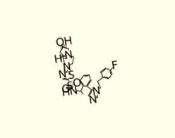 CC(NS(=O)(=O)c1cnc(N2CCN3C[C@H](O)C[C@H]3C2)s1)c1ccccc1-c1cncn1CCc1ccc(F)cc1